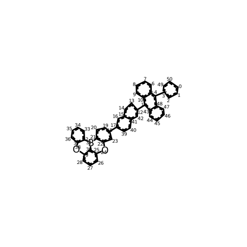 c1ccc(-c2c3ccccc3c(-c3ccc4cc(-c5ccc6c(c5)Oc5cccc7c5B6c5ccccc5O7)ccc4c3)c3ccccc23)cc1